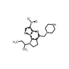 CCC(C)N1CCc2c(CN3CCNCC3)nc3c([N+](=O)[O-])cnn3c21